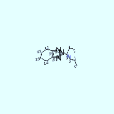 CC/C=C(\CC)n1nc2c(n1)CCCC2